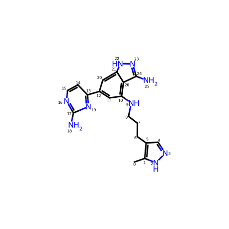 Cc1[nH]ncc1CCCNc1cc(-c2ccnc(N)n2)cc2[nH]nc(N)c12